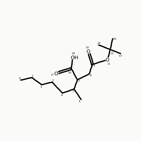 CCCCCC(C)C(CC(=O)OC(C)(C)C)C(=O)O